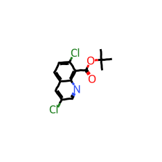 CC(C)(C)OC(=O)c1c(Cl)ccc2cc(Cl)cnc12